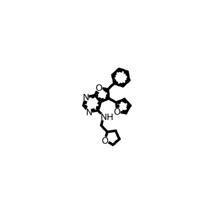 c1ccc(-c2oc3ncnc(NCC4CCCO4)c3c2-c2ccco2)cc1